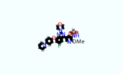 COc1ncc(-c2nc(N3CCOCC3)nc3c(O[C@H]4CC[C@@H](N5CCCCC5)CC4)cc(F)cc23)cc1NS(C)(=O)=O